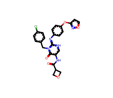 O=C(Nc1c[nH]/c(=N\c2ccc(Oc3ccon3)cc2)n(Cc2ccc(Cl)cc2)c1=O)C1COC1